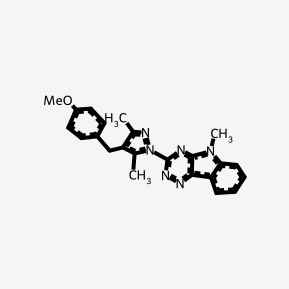 COc1ccc(Cc2c(C)nn(-c3nnc4c5ccccc5n(C)c4n3)c2C)cc1